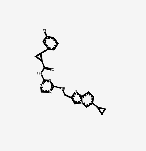 O=C(Nc1ncnc(NCc2cn3cc(C4CC4)ccc3n2)n1)C1CC1c1cccc(Cl)c1